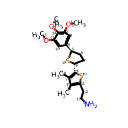 COc1cc([C@H]2CC[C@H](c3sc(CCN)c(C)c3C)S2)cc(OC)c1OC